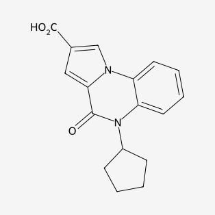 O=C(O)c1cc2c(=O)n(C3CCCC3)c3ccccc3n2c1